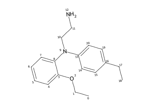 CCOc1ccccc1N(CCN)c1ccc(CC)cc1